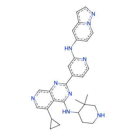 CC1(C)CNCCC1Nc1nc(-c2ccnc(Nc3ccn4nccc4c3)c2)nc2cncc(C3CC3)c12